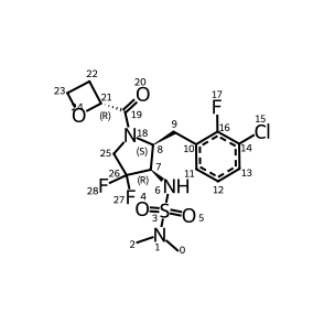 CN(C)S(=O)(=O)N[C@@H]1[C@H](Cc2cccc(Cl)c2F)N(C(=O)[C@H]2CCO2)CC1(F)F